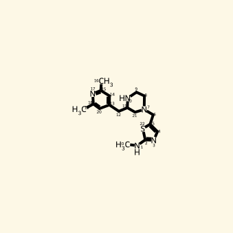 CNc1ncc(CN2CCNC(Cc3cc(C)nc(C)c3)C2)s1